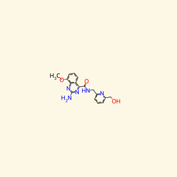 COc1cccc2c(C(=O)NCc3cccc(CO)n3)nc(N)nc12